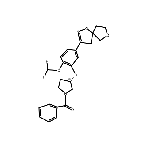 O=C(c1ccccc1)N1CC[C@H](Oc2cc(C3=NOC4(CCOC4)C3)ccc2OC(F)F)C1